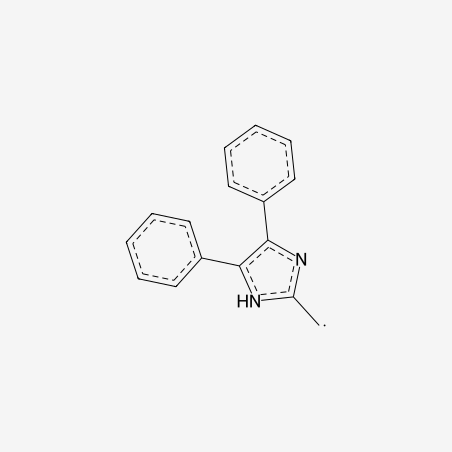 [CH2]c1nc(-c2ccccc2)c(-c2ccccc2)[nH]1